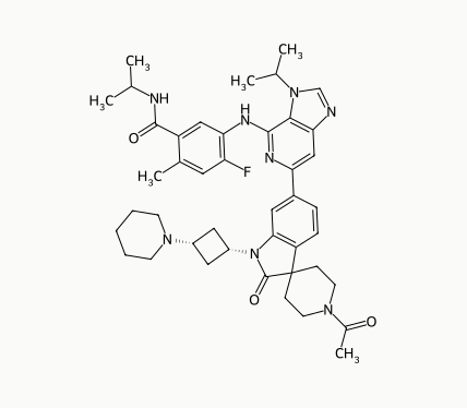 CC(=O)N1CCC2(CC1)C(=O)N([C@H]1C[C@@H](N3CCCCC3)C1)c1cc(-c3cc4ncn(C(C)C)c4c(Nc4cc(C(=O)NC(C)C)c(C)cc4F)n3)ccc12